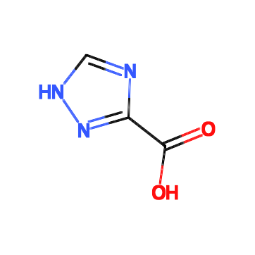 O=C(O)c1nc[nH]n1